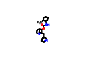 Cc1ccccc1NC(=O)OC1C2CCN(CC2)C1Cc1cccnc1